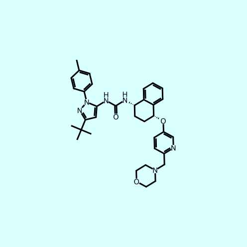 Cc1ccc(-n2nc(C(C)(C)C)cc2NC(=O)N[C@H]2CC[C@@H](Oc3ccc(CN4CCOCC4)nc3)c3ccccc32)cc1